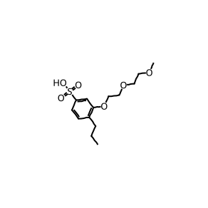 CCCc1ccc(S(=O)(=O)O)cc1OCCOCCOC